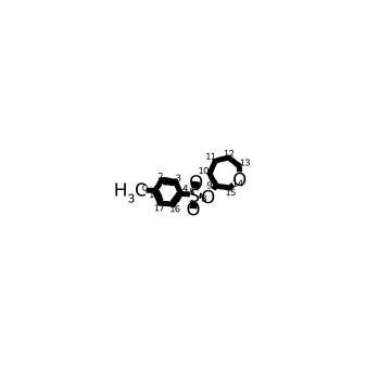 Cc1ccc(S(=O)(=O)OC2CCCCOC2)cc1